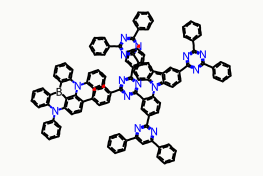 c1ccc(-c2cc(-c3ccccc3)nc(-c3ccc(-n4c5ccc(-c6nc(-c7ccccc7)nc(-c7ccccc7)n6)cc5c5cc(-c6nc(-c7ccccc7)nc(-c7ccccc7)n6)ccc54)c(-c4nc(-c5ccccc5)nc(-c5ccc(-c6ccc7c8c6N(c6ccccc6)c6ccccc6B8c6ccccc6N7c6ccccc6)cc5)n4)c3)n2)cc1